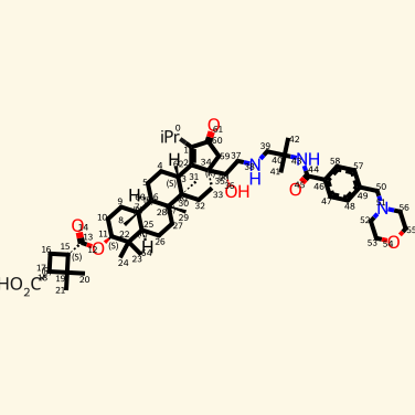 CC(C)C1=C2[C@H]3CC[C@@H]4[C@@]5(C)CC[C@H](OC(=O)[C@H]6C[C@@H](C(=O)O)C6(C)C)C(C)(C)[C@@H]5CC[C@@]4(C)[C@]3(C)CC[C@@]2([C@@H](O)CNCC(C)(C)NC(=O)c2ccc(CN3CCOCC3)cc2)CC1=O